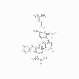 CC(C)C[C@H](NC(=O)[C@H](CC(C)C)NC(=O)[C@H](Cc1ccccc1)NC(=O)[C@@H](N)[C@@H](C)O)C(=O)N[C@@H](CCCN=C(N)N)C(N)=O